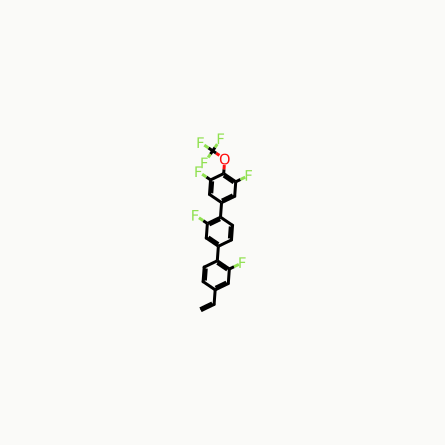 C=Cc1ccc(-c2ccc(-c3cc(F)c(OC(F)(F)F)c(F)c3)c(F)c2)c(F)c1